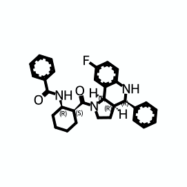 O=C(N[C@@H]1CCCC[C@@H]1C(=O)N1CC[C@@H]2[C@H](c3ccccc3)Nc3ccc(F)cc3[C@@H]21)c1ccccc1